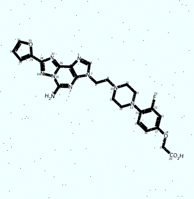 Nc1nc2c(ncn2CCN2CCN(c3ccc(OCC(=O)O)cc3F)CC2)c2nc(-c3ccco3)nn12